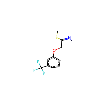 C/N=C(\COc1cccc(C(F)(F)F)c1)SC